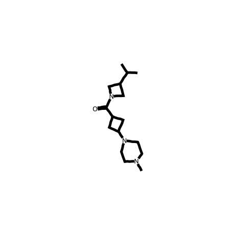 CC(C)C1CN(C(=O)C2CC(N3CCN(C)CC3)C2)C1